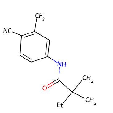 CCC(C)(C)C(=O)Nc1ccc(C#N)c(C(F)(F)F)c1